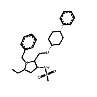 CCC1C[C@H](NS(C)(=O)=O)C(CO[C@H]2CC[C@@H](c3ccccc3)CC2)N1Cc1ccccc1